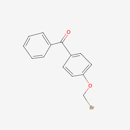 O=C(c1ccccc1)c1ccc(OCBr)cc1